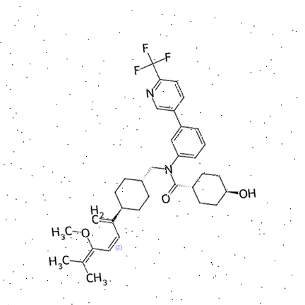 C=C(/C=C\C(OC)=C(C)C)[C@H]1CC[C@H](CN(c2cccc(-c3ccc(C(F)(F)F)nc3)c2)C(=O)[C@H]2CC[C@H](O)CC2)CC1